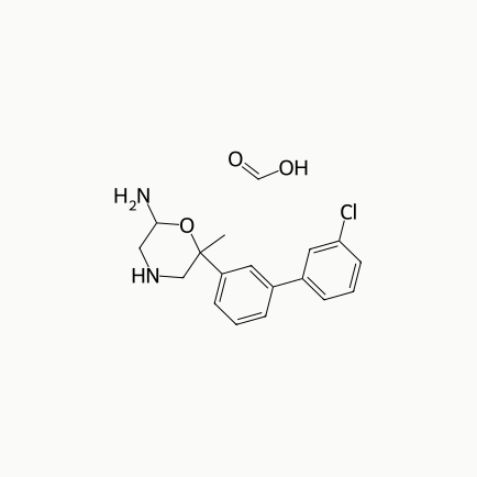 CC1(c2cccc(-c3cccc(Cl)c3)c2)CNCC(N)O1.O=CO